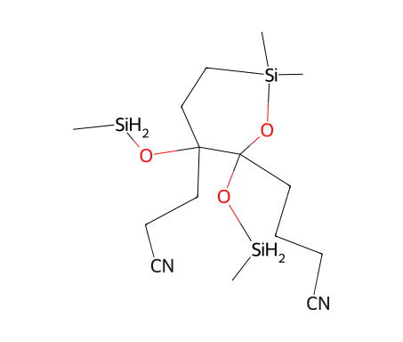 C[SiH2]OC1(CCC#N)CC[Si](C)(C)OC1(CCCC#N)O[SiH2]C